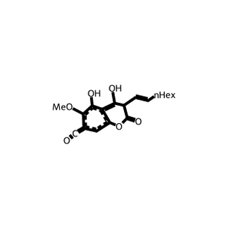 CCCCCCC=CC1C(=O)Oc2cc(=C=O)c(OC)c(O)c2=C1O